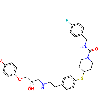 O=C(NCc1ccc(F)cc1)N1CCC(Sc2ccc(CCNC[C@H](O)COc3ccc(O)cc3)cc2)CC1